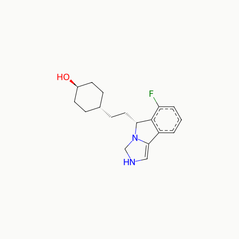 O[C@H]1CC[C@H](CC[C@@H]2c3c(F)cccc3C3=CNCN32)CC1